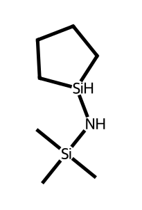 C[Si](C)(C)N[SiH]1CCCC1